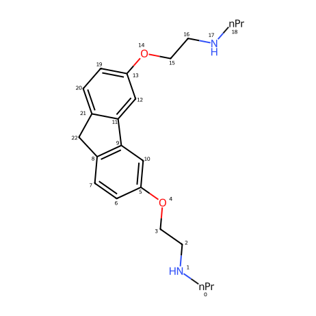 CCCNCCOc1ccc2c(c1)-c1cc(OCCNCCC)ccc1C2